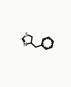 [C]1=NC(Cc2ccccc2)CS1